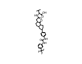 CC(C)[C@H](NC(=O)CC1CCC2CC(c3ccc(NC(=O)Nc4cccc(C(F)(F)F)c4)cc3)CCC2C1=O)C(=O)O